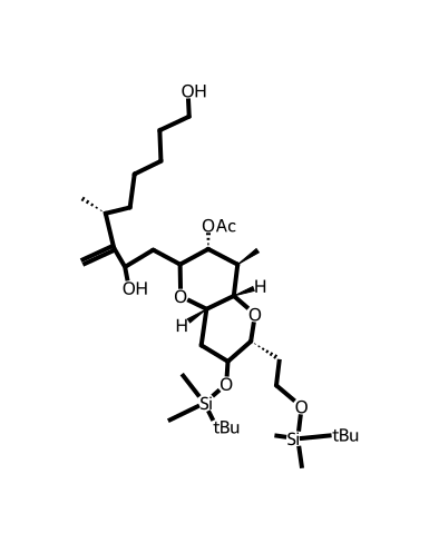 C=C(C(O)CC1O[C@H]2CC(O[Si](C)(C)C(C)(C)C)[C@@H](CCO[Si](C)(C)C(C)(C)C)O[C@H]2[C@H](C)[C@H]1OC(C)=O)[C@H](C)CCCCCO